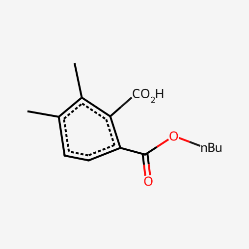 CCCCOC(=O)c1ccc(C)c(C)c1C(=O)O